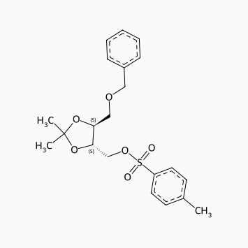 Cc1ccc(S(=O)(=O)OC[C@@H]2OC(C)(C)O[C@H]2COCc2ccccc2)cc1